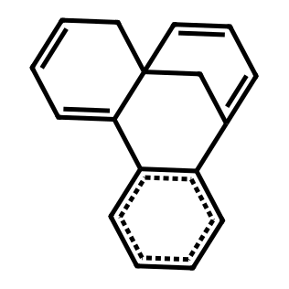 C1=CCC23C=CC=C(C2)c2ccccc2C3=C1